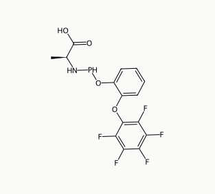 C[C@H](NPOc1ccccc1Oc1c(F)c(F)c(F)c(F)c1F)C(=O)O